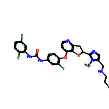 COCCNCc1cnc(C2Cc3nccc(Oc4ccc(NC(=O)Nc5cc(F)ccc5F)cc4F)c3S2)n1C